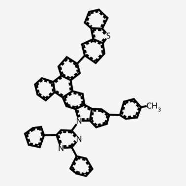 Cc1ccc(-c2ccc3c(c2)c2cc4c5cc(-c6ccc7sc8ccccc8c7c6)ccc5c5ccccc5c4cc2n3-c2cc(-c3ccccc3)nc(-c3ccccc3)n2)cc1